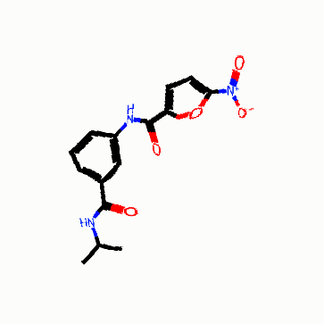 CC(C)NC(=O)c1cccc(NC(=O)c2ccc([N+](=O)[O-])o2)c1